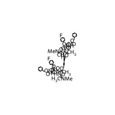 CN[C@@H](C)C(=O)N[C@H](C(=O)N1CC[C@@H]2[C@H]1[C@@H](Oc1ccc(F)cc1)CN2C(=O)OCc1ccccc1)[C@@H](C)OCC#CC#CCO[C@H](C)[C@H](NC(=O)[C@H](C)NC)C(=O)N1CC[C@@H]2[C@H]1[C@@H](Oc1ccc(F)cc1)CN2C(=O)OCc1ccccc1